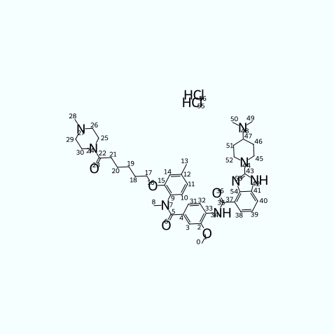 COc1cc(C(=O)N(C)c2ccc(C)cc2OCCCCCC(=O)N2CCN(C)CC2)ccc1NC(=O)c1cccc2[nH]c(N3CCC(N(C)C)CC3)nc12.Cl.Cl